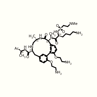 CNCCS(=O)(=O)N[C@@H](CCCCN)C(=O)N(C)[C@@H]1C(=O)N[C@@H](C)CN[C@H](C(=O)N[C@@H](C)C(C)=O)Cc2ccc(OCCN)c(c2)-c2cc1ccc2OCCN